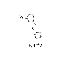 COc1cccc(CSc2cnc(C(N)=O)s2)c1